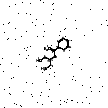 C=C(S[C@@H](CN)CO)C1C=CC=CC1